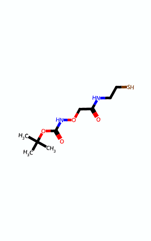 CC(C)(C)OC(=O)NOCC(=O)NCCS